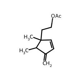 C=C1C=CC(C)(CCOC(C)=O)C1C